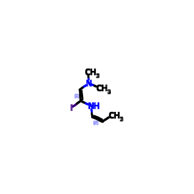 C/C=C\N/C(I)=C\N(C)C